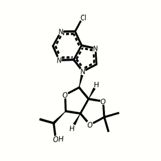 CC(O)[C@H]1O[C@@H](n2cnc3c(Cl)ncnc32)[C@@H]2OC(C)(C)O[C@@H]21